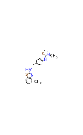 Cc1cccc2sc(NCCc3ccc(/N=C4\SCCN4C)cc3)nc12